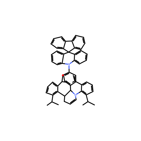 CC(C)c1cccc(C(C)C)c1C1CC=CN(c2c(C(C)C)cccc2C(C)C)C1c1ccc(N2c3ccccc3C3(c4ccccc4-c4ccccc43)c3ccccc32)cc1